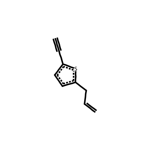 C#Cc1ccc(CC=C)s1